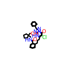 O=C(NCC1(CO)CCCC1)c1ccccc1CCCc1[nH]c2nc(-c3ccccc3)nn2c(=O)c1Cl